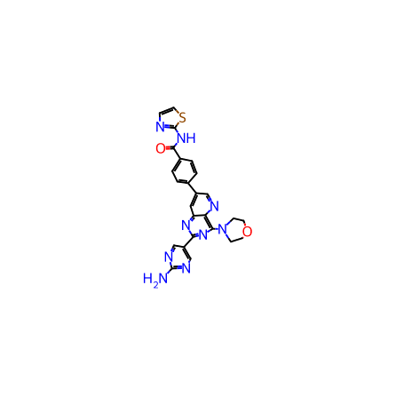 Nc1ncc(-c2nc(N3CCOCC3)c3ncc(-c4ccc(C(=O)Nc5nccs5)cc4)cc3n2)cn1